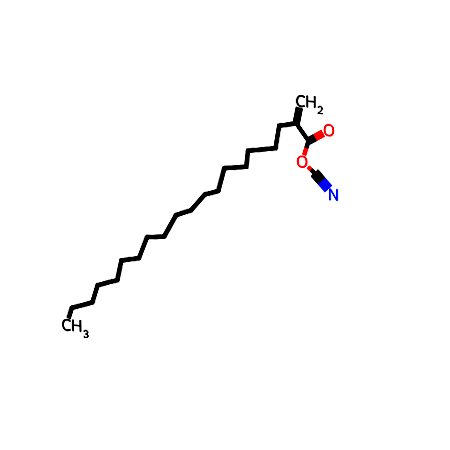 C=C(CCCCCCCCCCCCCCCCCC)C(=O)OC#N